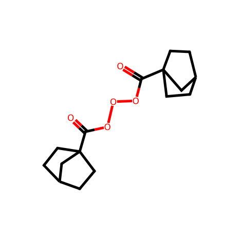 O=C(OOOC(=O)C12CCC(CC1)C2)C12CCC(CC1)C2